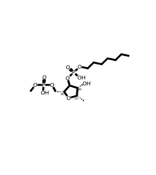 CCCCCCCOP(=O)(O)OC1[C@@H](COP(=O)(O)OC)O[C@@H](C)[C@H]1O